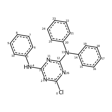 Clc1nc(Nc2ccccc2)nc(N(c2ccccc2)c2ccccc2)n1